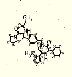 CCC(=O)NC(Cc1ccc(CNC(=O)C(NC(=O)c2ccnn2C)C2CCCCC2)cc1)C(=O)N1CCCC1